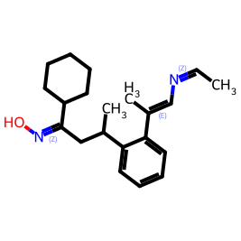 C/C=N\C=C(/C)c1ccccc1C(C)C/C(=N/O)C1CCCCC1